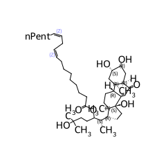 CCCCC/C=C\C/C=C\CCCCCCCC(=O)OC(CCC(C)(C)O)[C@@H](C)[C@H]1CC[C@@]2(O)C3=CC(=O)[C@@H]4C[C@@H](O)[C@@H](O)C[C@]4(C)[C@H]3CC[C@]12C